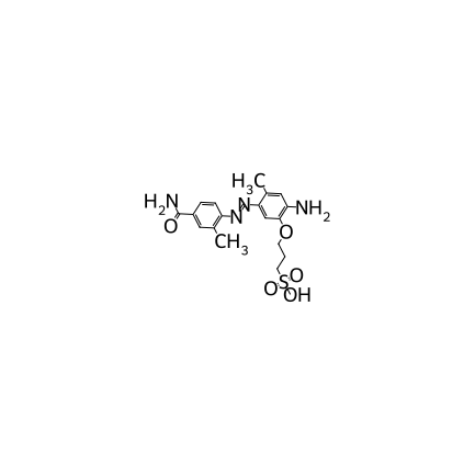 Cc1cc(C(N)=O)ccc1N=Nc1cc(OCCCS(=O)(=O)O)c(N)cc1C